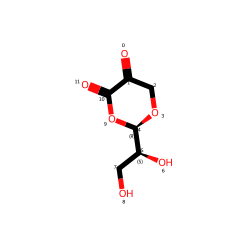 O=C1CO[C@@H]([C@@H](O)CO)OC1=O